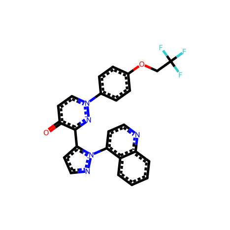 O=c1ccn(-c2ccc(OCC(F)(F)F)cc2)nc1-c1ccnn1-c1ccnc2ccccc12